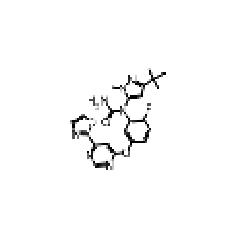 Cn1nc(C(C)(C)C)cc1N(C(N)=O)c1cc(Oc2cc(-c3ncco3)ncn2)ccc1F